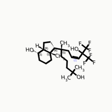 CC(C)(O)CCC[C@@](C)(C/C=C\C(O)(C(F)(F)F)C(F)(F)F)[C@H]1CC[C@H]2[C@@H](O)CCC[C@@]12C